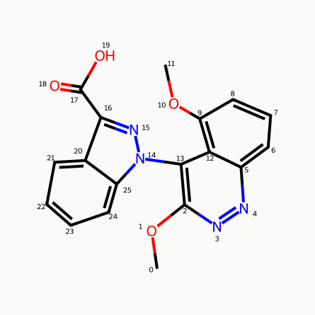 COc1nnc2cccc(OC)c2c1-n1nc(C(=O)O)c2ccccc21